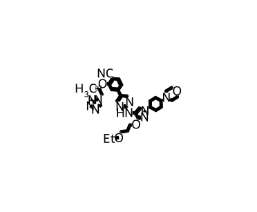 CCOCCCOc1nn([C@H]2CC[C@H](N3CCOCC3)CC2)cc1Nc1ncc(-c2ccc(C#N)c(O[C@@H](C)Cn3cnnn3)c2)cn1